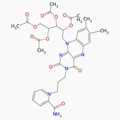 CC(=O)OCC(OC(C)=O)C(OC(C)=O)C(Cn1c2nc(=O)n(CCC[n+]3ccccc3C(N)=O)c(=O)c-2nc2cc(C)c(C)cc21)OC(C)=O